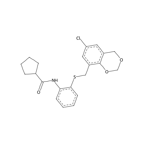 O=C(Nc1ccccc1SCc1cc(Cl)cc2c1OCOC2)C1CCCC1